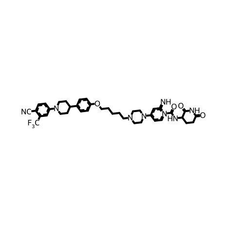 N#Cc1ccc(N2CCC(c3ccc(OCCCCCN4CCN(c5ccn(C(=O)NC6CCC(=O)NC6=O)c(=N)c5)CC4)cc3)CC2)cc1C(F)(F)F